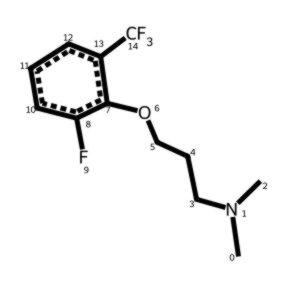 CN(C)CCCOc1c(F)cccc1C(F)(F)F